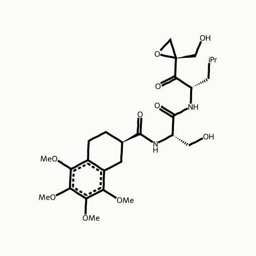 COc1c2c(c(OC)c(OC)c1OC)C[C@H](C(=O)N[C@@H](CO)C(=O)N[C@@H](CC(C)C)C(=O)[C@@]1(CO)CO1)CC2